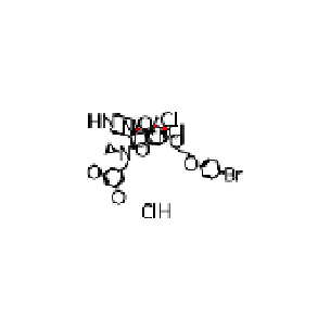 COc1cc(CN(C(=O)C2=C(c3ccc(OCCOc4ccc(Br)cc4)cc3)CC3CNCC2N3C(=O)OC(C)(C)C(Cl)(Cl)Cl)C2CC2)cc(OC)c1.Cl